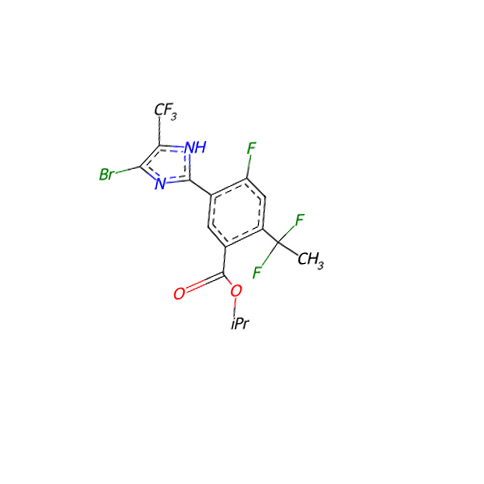 CC(C)OC(=O)c1cc(-c2nc(Br)c(C(F)(F)F)[nH]2)c(F)cc1C(C)(F)F